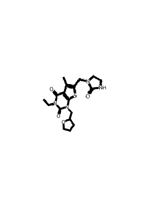 CCn1c(=O)c2c(C)c(CN3CCNC3=O)sc2n(CC2CCCO2)c1=O